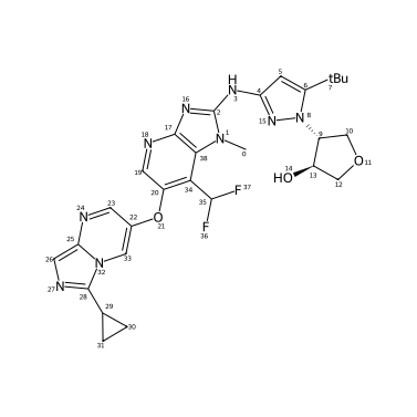 Cn1c(Nc2cc(C(C)(C)C)n([C@@H]3COC[C@H]3O)n2)nc2ncc(Oc3cnc4cnc(C5CC5)n4c3)c(C(F)F)c21